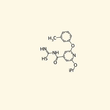 Cc1cccc(Oc2cc(C(=O)NC(=N)S)cc(OC(C)C)n2)c1